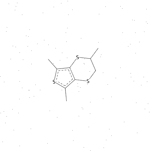 Cc1sc(C)c2c1SCC(C)S2